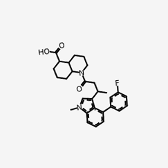 CC(CC(=O)N1CCCC2C(C(=O)O)CCCC21)c1cn(C)c2cccc(-c3cccc(F)c3)c12